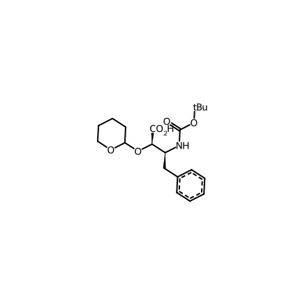 CC(C)(C)OC(=O)N[C@@H](Cc1ccccc1)[C@@H](OC1CCCCO1)C(=O)O